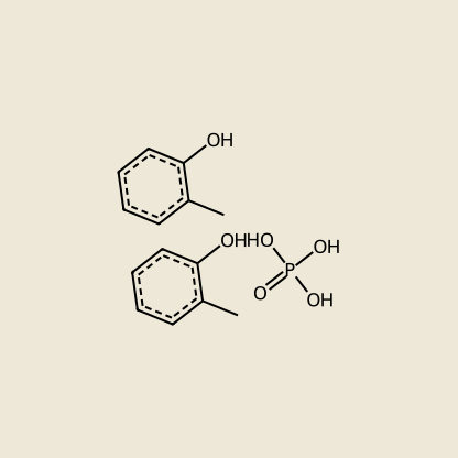 Cc1ccccc1O.Cc1ccccc1O.O=P(O)(O)O